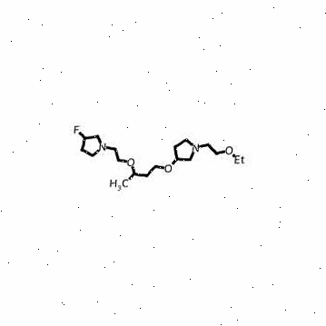 CCOCCN1CCC(OCCC(C)OCCN2CCC(F)C2)C1